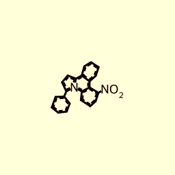 O=[N+]([O-])c1cccc2c1c1ccccc1c1ccc(-c3ccccc3)n12